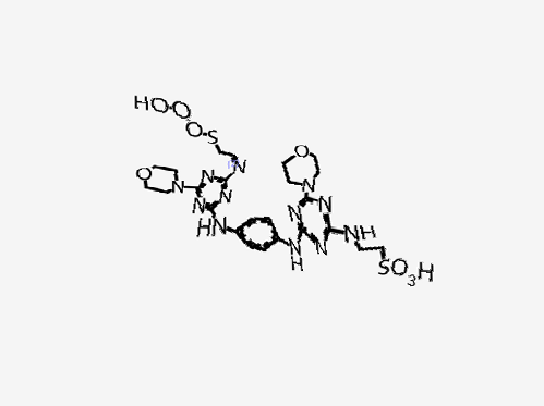 O=S(=O)(O)CCNc1nc(Nc2ccc(Nc3nc(/N=C\CSOOO)nc(N4CCOCC4)n3)cc2)nc(N2CCOCC2)n1